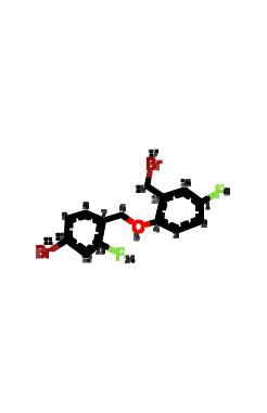 Fc1ccc(OCc2ccc(Br)cc2F)c(CBr)c1